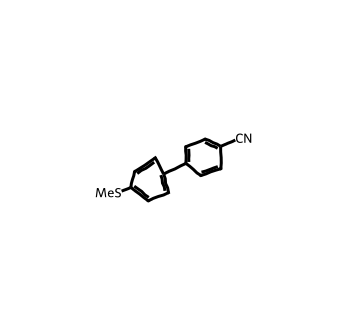 CSc1ccc(-c2ccc(C#N)cc2)cc1